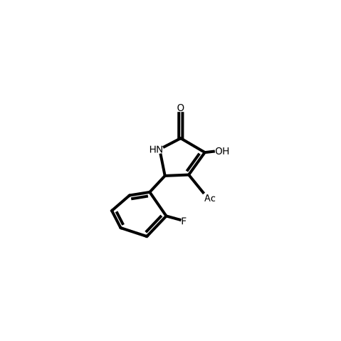 CC(=O)C1=C(O)C(=O)NC1c1ccccc1F